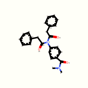 CN(C)C(=O)c1ccc(N(C(=O)Cc2ccccc2)C(=O)Cc2ccccc2)cc1